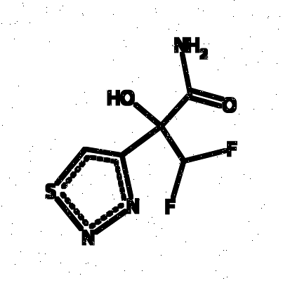 NC(=O)C(O)(c1csnn1)C(F)F